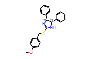 COc1ccc(CSC2=N[C@@H](c3ccccc3)[C@@H](c3ccccc3)N2)cc1